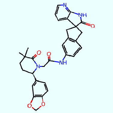 CC1(C)CC[C@H](c2ccc3c(c2)OCO3)N(CC(=O)Nc2ccc3c(c2)CC2(C3)C(=O)Nc3ncccc32)C1=O